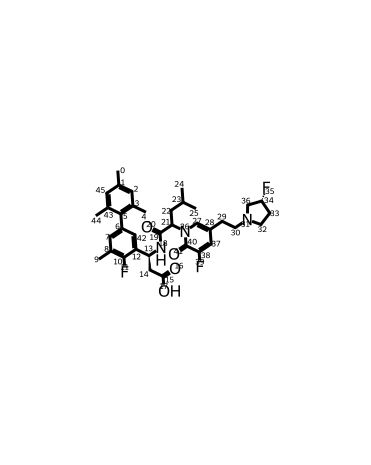 Cc1cc(C)c(-c2cc(C)c(F)c([C@H](CC(=O)O)NC(=O)C(CC(C)C)n3cc(CCN4CC[C@@H](F)C4)cc(F)c3=O)c2)c(C)c1